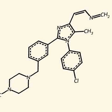 C=N/C=C\c1nc(-c2cccc(CN3CCN(C)CC3)c2)n(-c2ccc(Cl)cc2)c1C